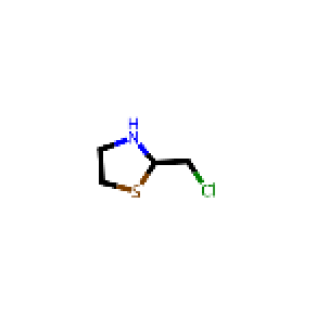 ClCC1NCCS1